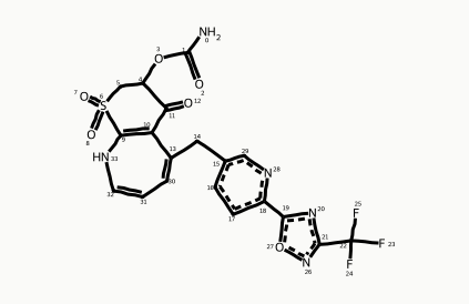 NC(=O)OC1CS(=O)(=O)C2=C(C1=O)C(Cc1ccc(-c3nc(C(F)(F)F)no3)nc1)=CC=CN2